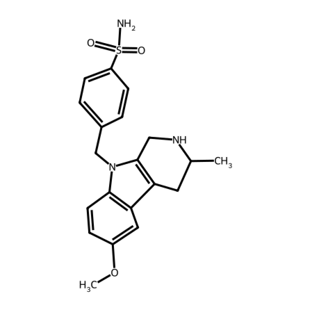 COc1ccc2c(c1)c1c(n2Cc2ccc(S(N)(=O)=O)cc2)CNC(C)C1